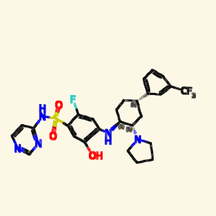 O=S(=O)(Nc1ccncn1)c1cc(O)c(N[C@H]2CC[C@H](c3cccc(C(F)(F)F)c3)C[C@@H]2N2CCCC2)cc1F